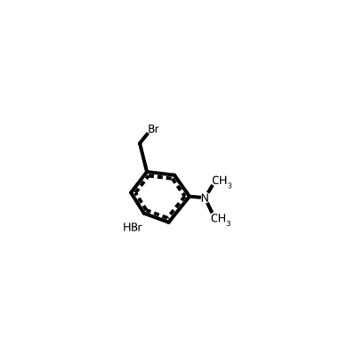 Br.CN(C)c1cccc(CBr)c1